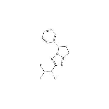 [O-][S@@+](c1nc2n(n1)[C@H](c1ccccc1)CC2)C(F)F